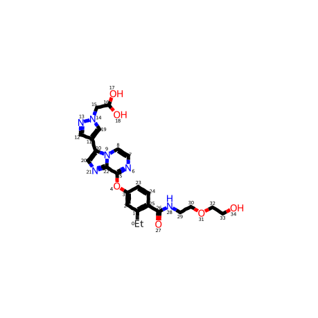 CCc1cc(Oc2nccn3c(-c4cnn(CC(O)O)c4)cnc23)ccc1C(=O)NCCOCCO